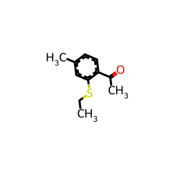 CCSc1cc(C)ccc1C(C)=O